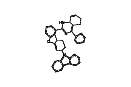 C1=CC2NC(c3cccc4c3C3CCC(n5c6ccccc6c6ccccc65)C=C3O4)=NC(c3ccccc3)=C2CC1